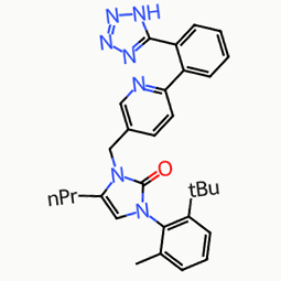 CCCc1cn(-c2c(C)cccc2C(C)(C)C)c(=O)n1Cc1ccc(-c2ccccc2-c2nnn[nH]2)nc1